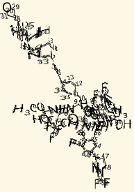 COC(=O)N[C@H](C(=O)N[C@@H](Cc1ccc(C#Cc2ccc(N3C[C@H]4C[C@@H]3CN4C3COC3)nc2)cc1)[C@@H](O)CN(Cc1c(F)cc(-c2ccn(C(F)F)n2)cc1F)NC(=O)[C@@H](NC(=O)O)C(C)(C)C(F)(F)F)C(C)(C)C(F)(F)F